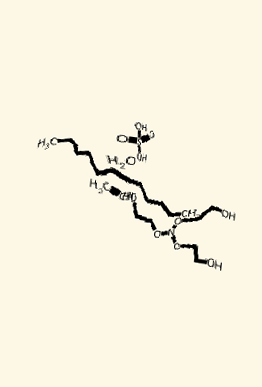 C=C.CCCCCCCCCCCC.O.O=S(=O)(O)O.OCCON(OCCO)OCCO